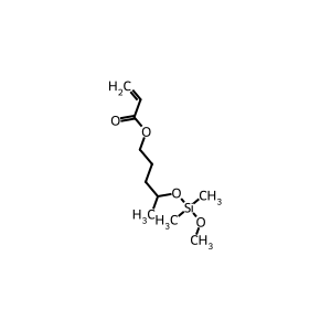 C=CC(=O)OCCCC(C)O[Si](C)(C)OC